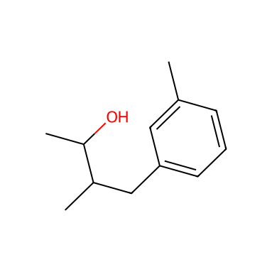 Cc1cccc(CC(C)C(C)O)c1